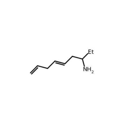 C=CCC=CCC(N)CC